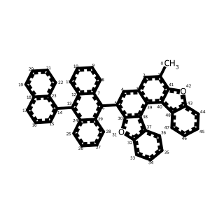 Cc1cc2cc(-c3c4ccccc4c(-c4cccc5ccccc45)c4ccccc34)c3oc4ccccc4c3c2c2c1oc1ccccc12